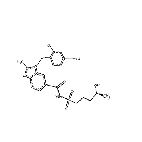 Cc1nc2ccc(C(=O)NS(=O)(=O)CCC[C@H](C)O)cc2n1Cc1ccc(Cl)cc1Cl